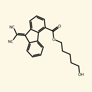 N#CC(C#N)=C1c2ccccc2-c2c(C(=O)OCCCCCO)cccc21